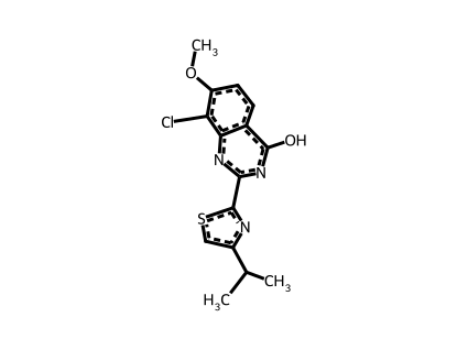 COc1ccc2c(O)nc(-c3nc(C(C)C)cs3)nc2c1Cl